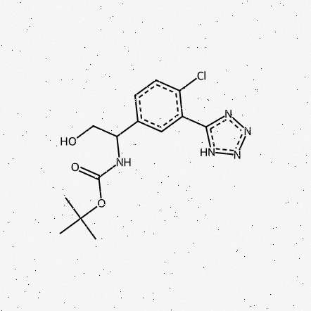 CC(C)(C)OC(=O)NC(CO)c1ccc(Cl)c(-c2nnn[nH]2)c1